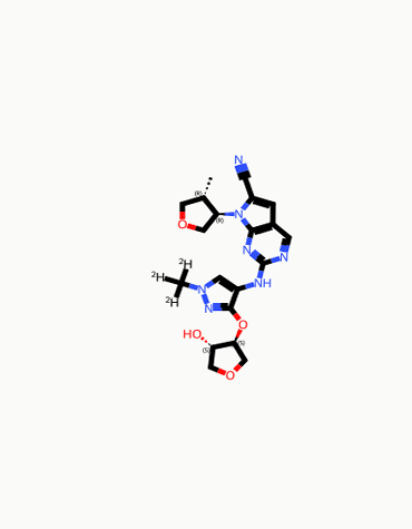 [2H]C([2H])([2H])n1cc(Nc2ncc3cc(C#N)n([C@H]4COC[C@@H]4C)c3n2)c(O[C@H]2COC[C@@H]2O)n1